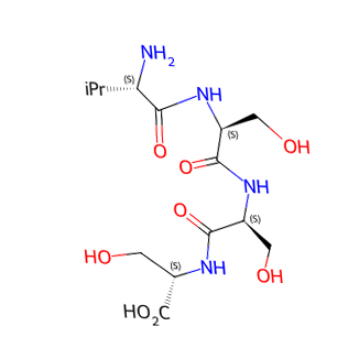 CC(C)[C@H](N)C(=O)N[C@@H](CO)C(=O)N[C@@H](CO)C(=O)N[C@@H](CO)C(=O)O